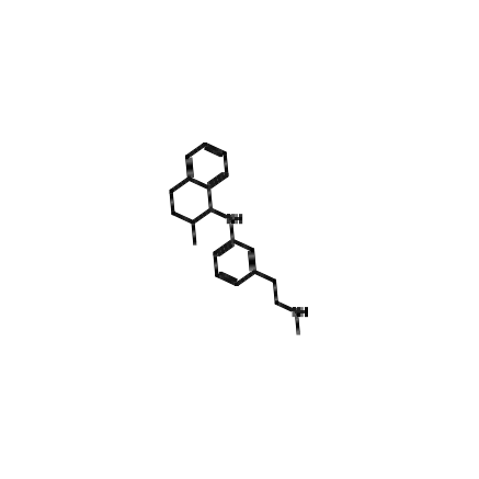 CNCCc1cccc(NC2c3ccccc3CCC2C)c1